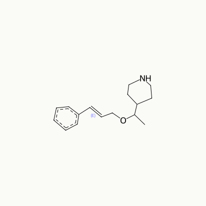 CC(OC/C=C/c1ccccc1)C1CCNCC1